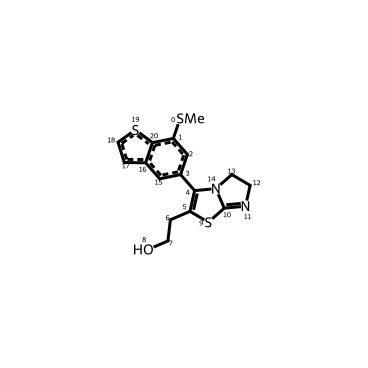 CSc1cc(C2=C(CCO)SC3=NCCN32)cc2ccsc12